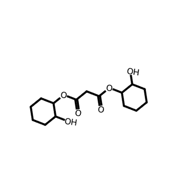 O=C(CC(=O)OC1CCCCC1O)OC1CCCCC1O